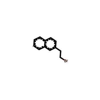 BrCCc1ccc2cc[c]cc2c1